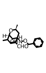 CC1C=C(C=O)C2(NOCc3ccccc3)C[C@H](C)O[C@H]1C2O